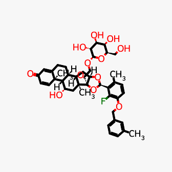 Cc1cccc(COc2ccc(C)c([C@@H]3O[C@@H]4C[C@H]5[C@@H]6CCC7=CC(=O)C=C[C@]7(C)[C@H]6[C@@H](O)C[C@]5(C)[C@]4(C(=O)CO[C@@H]4O[C@H](CO)[C@H](O)[C@H](O)[C@H]4O)O3)c2F)c1